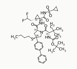 CCCCS[C@@]1(c2ccc(-c3ccccc3)cc2)C[C@@H](C(=O)N[C@]2(C(=O)NS(=O)(=O)C3CC3)C[C@H]2CC(F)F)N(C(=O)[C@@H](NC(=O)OC(C)(C)C)C(C)(C)C)C1